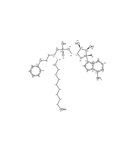 CCCCCCCCCCCCCCCCCCOC[C@H](CCOc1ccccc1)OP(=O)(O)OC[C@H]1O[C@@](C)(c2ccc3c(N)ncnn23)[C@H](O)[C@@H]1O